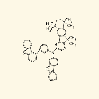 CC1(C)CCC(C)(C)c2cc3c(cc21)-c1cc(N(c2cccc(-c4cccc5sc6ccccc6c45)c2)c2ccc4c(c2)oc2ccccc24)ccc1C3(C)C